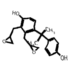 CC(C)(c1ccc(O)cc1)c1ccc(O)c(CC2CO2)c1CC1CO1